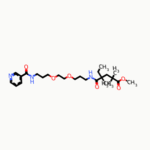 CCC(C)(CC(C)(C)C(=O)OC)C(=O)NCCCOCCOCCCNC(=O)c1cccnc1